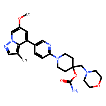 CCOc1cc(-c2ccc(N3CCC(CN4CCOCC4)(OC(N)=O)CC3)nc2)c2c(C#N)cnn2c1